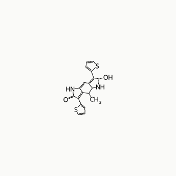 CC1C2=C(c3cccs3)C(=O)NC2=CC2=C(c3cccs3)C(O)NC21